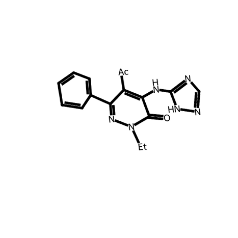 CCn1nc(-c2ccccc2)c(C(C)=O)c(Nc2ncn[nH]2)c1=O